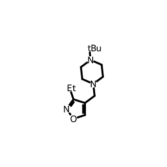 CCc1nocc1CN1CCN(C(C)(C)C)CC1